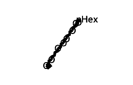 CCCCCCOOCCOCCCOCOCCOCCCCOCC1CCO1